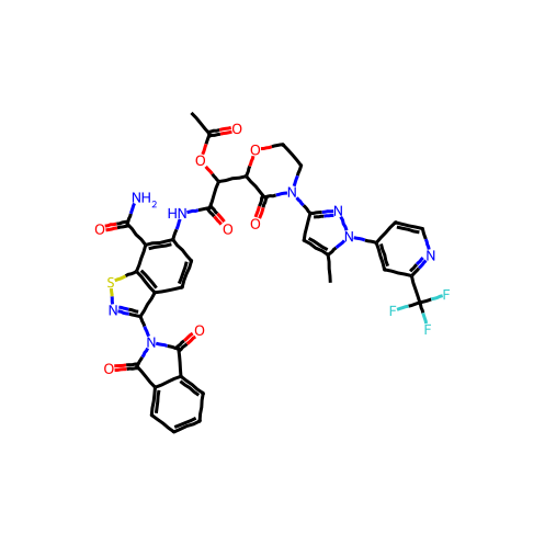 CC(=O)OC(C(=O)Nc1ccc2c(N3C(=O)c4ccccc4C3=O)nsc2c1C(N)=O)C1OCCN(c2cc(C)n(-c3ccnc(C(F)(F)F)c3)n2)C1=O